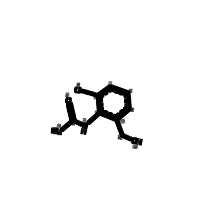 CC(C)(C)C(=O)Nc1c(Cl)cccc1CO